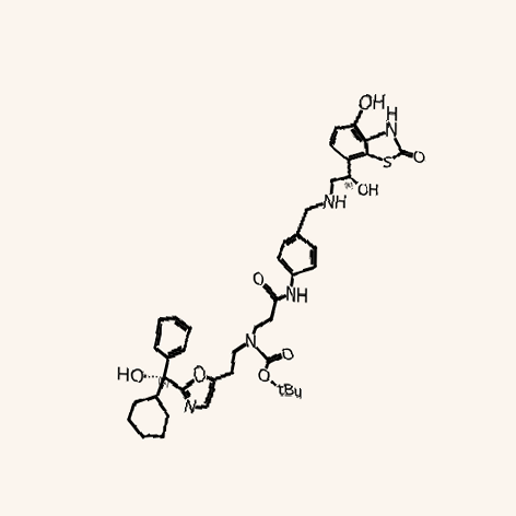 CC(C)(C)OC(=O)N(CCC(=O)Nc1ccc(CNC[C@H](O)c2ccc(O)c3[nH]c(=O)sc23)cc1)CCc1cnc([C@](O)(c2ccccc2)C2CCCCC2)o1